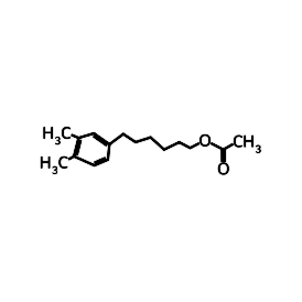 CC(=O)OCCCCCCc1ccc(C)c(C)c1